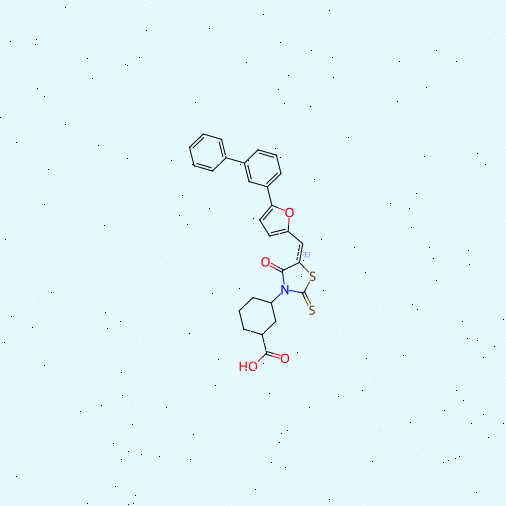 O=C(O)C1CCCC(N2C(=O)/C(=C\c3ccc(-c4cccc(-c5ccccc5)c4)o3)SC2=S)C1